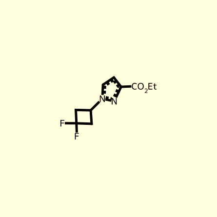 CCOC(=O)c1ccn(C2CC(F)(F)C2)n1